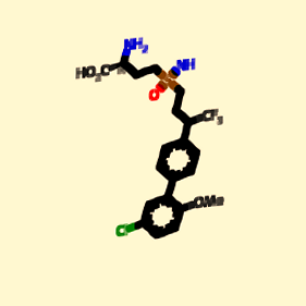 COc1ccc(Cl)cc1-c1ccc(C(CCS(=N)(=O)CC[C@H](N)C(=O)O)C(F)(F)F)cc1